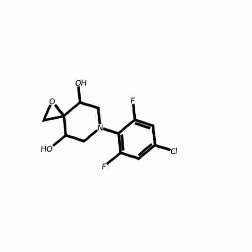 OC1CN(c2c(F)cc(Cl)cc2F)CC(O)C12CO2